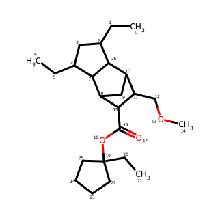 CCC1CC(CC)C2C3CC(C(COC)C3C(=O)OC3(CC)CCCC3)C12